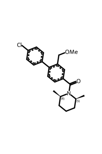 COCc1cc(C(=O)N2[C@H](C)CCC[C@@H]2C)ccc1-c1ccc(Cl)cc1